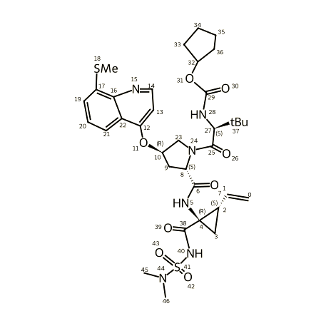 C=C[C@@H]1C[C@]1(NC(=O)[C@@H]1C[C@@H](Oc2ccnc3c(SC)cccc23)CN1C(=O)[C@@H](NC(=O)OC1CCCC1)C(C)(C)C)C(=O)NS(=O)(=O)N(C)C